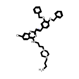 NCCCN1CCN(CCCNc2nc(/C=C/c3ccc(OCc4ccccc4)c(OCc4ccccc4)c3)nc3cc(Cl)ccc23)CC1